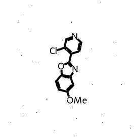 COc1ccc2oc(-c3ccncc3Cl)nc2c1